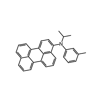 Cc1cccc(N(c2ccc3c4cccc5cccc(c6cccc2c63)c54)C(C)C)c1